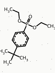 CCOP(=O)(OCC)c1ccc(C(C)(C)C)cc1